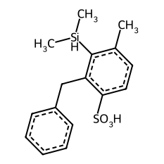 Cc1ccc(S(=O)(=O)O)c(Cc2ccccc2)c1[SiH](C)C